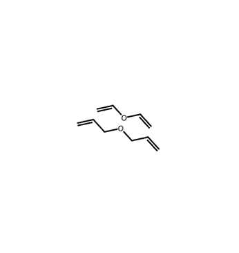 C=CCOCC=C.C=COC=C